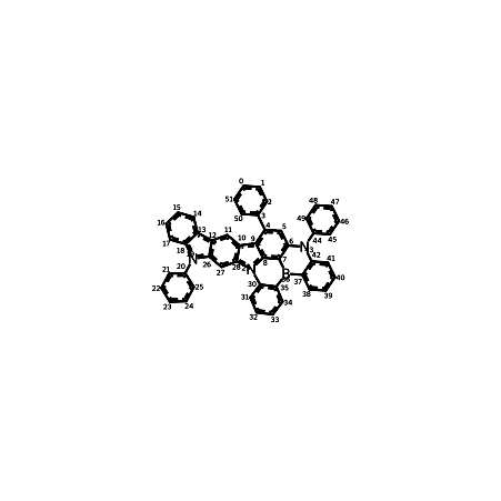 c1ccc(-c2cc3c4c5c2c2cc6c7ccccc7n(-c7ccccc7)c6cc2n5-c2ccccc2B4c2ccccc2N3c2ccccc2)cc1